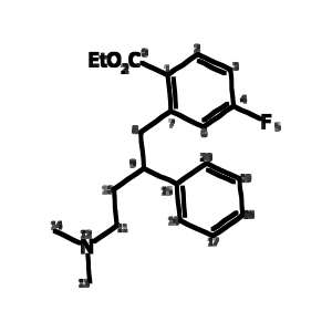 CCOC(=O)c1ccc(F)cc1CC(CCN(C)C)c1ccccc1